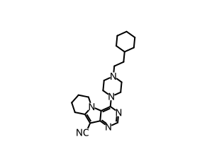 N#Cc1c2n(c3c(N4CCN(CCC5CCCCC5)CC4)ncnc13)CCCC2